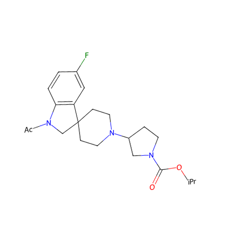 CC(=O)N1CC2(CCN(C3CCN(C(=O)OC(C)C)C3)CC2)c2cc(F)ccc21